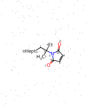 CCCCCCCCC(C)(CC)N1C(=O)C=CC1=O